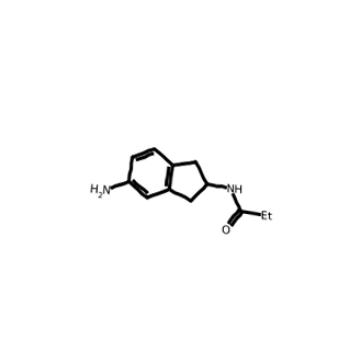 CCC(=O)NC1Cc2ccc(N)cc2C1